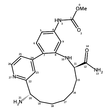 COC(=O)Nc1ccc2c(c1)N[C@@H](C(N)=O)CCCCC[C@H](N)c1cc-2ccn1